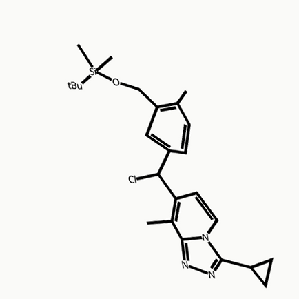 Cc1ccc(C(Cl)c2ccn3c(C4CC4)nnc3c2C)cc1CO[Si](C)(C)C(C)(C)C